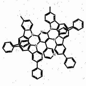 Cc1ccc2c(c1)c1cc(C)ccc1n2-c1nc(-n2c3ccc(C)cc3c3cc(C)ccc32)c(-n2c3ccc(-c4ccccc4)cc3c3cc(-c4ccccc4)ccc32)c(-c2cccnc2)c1-n1c2ccc(-c3ccccc3)cc2c2cc(-c3ccccc3)ccc21